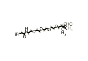 CC(C)CC(=O)NCCOCCOCCOCCOCCC(C)(C)C=O